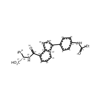 CCC(=O)Nc1ccc(-c2nnc3c(C(=O)N[C@H](C(=O)O)C(C)C)cccn23)cc1